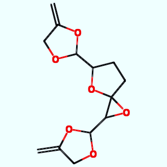 C=C1COC(C2CCC3(O2)OC3C2OCC(=C)O2)O1